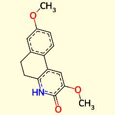 COc1ccc2c(c1)CCc1[nH]c(=O)c(OC)cc1-2